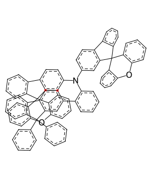 c1ccc(C2(c3ccccc3)c3ccccc3-c3ccc(-c4ccccc4N(c4ccc5c(c4)C4(c6ccccc6Oc6ccccc64)c4ccccc4-5)c4ccc5c(c4)C4(c6ccccc6Oc6ccccc64)c4ccccc4-5)cc32)cc1